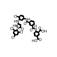 O=C(O)c1ccc(NC(=O)c2cccc(C(=O)Nc3ccc(Cl)c(Nc4cc(=O)n(-c5c(Cl)cc(Cl)cc5Cl)[nH]4)c3)c2)c(C(=O)O)c1